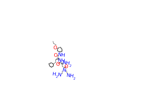 CCCOc1cccc(NC(=O)[C@H](CCc2ccccc2)NC(=O)[C@@H](N)CC(=O)N(CCN)CCN)c1